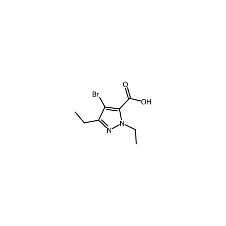 CCc1nn(CC)c(C(=O)O)c1Br